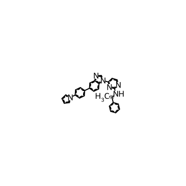 C[C@H](Nc1nccc(-n2cnc3cc(-c4ccc(-n5cccc5)cc4)ccc32)n1)c1ccccc1